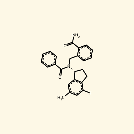 Cc1cc(F)c2c(c1)[C@H](N(Cc1ccccc1C(N)=O)C(=O)c1ccccc1)CC2